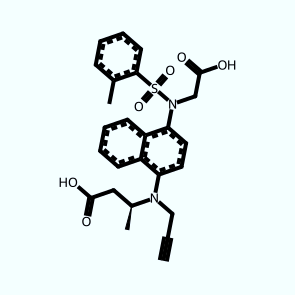 C#CCN(c1ccc(N(CC(=O)O)S(=O)(=O)c2ccccc2C)c2ccccc12)[C@@H](C)CC(=O)O